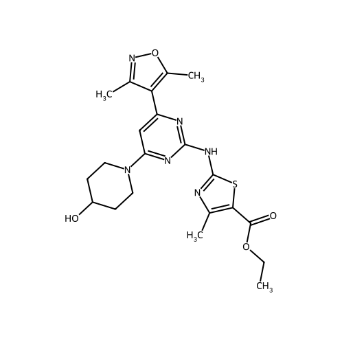 CCOC(=O)c1sc(Nc2nc(-c3c(C)noc3C)cc(N3CCC(O)CC3)n2)nc1C